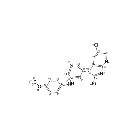 CCc1nc2ncc(Cl)cc2n1-c1cncc(Nc2ccc(OC(F)(F)F)cc2)n1